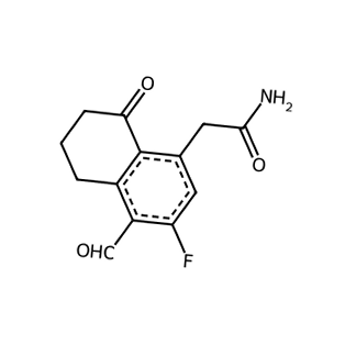 NC(=O)Cc1cc(F)c(C=O)c2c1C(=O)CCC2